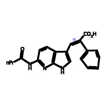 CCCC(=O)Nc1ccc2c(/C=C(/C(=O)O)c3ccccc3)c[nH]c2n1